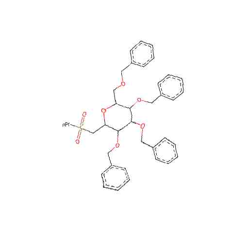 CCCS(=O)(=O)CC1OC(COCc2ccccc2)C(OCc2ccccc2)C(OCc2ccccc2)C1OCc1ccccc1